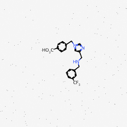 O=C(O)c1ccc(Cn2cnc(CNCc3cccc(C(F)(F)F)c3)c2)cc1